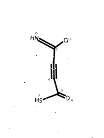 N=C(Cl)C#CC(=O)S